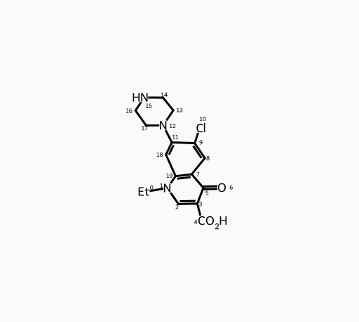 CCn1cc(C(=O)O)c(=O)c2cc(Cl)c(N3CCNCC3)cc21